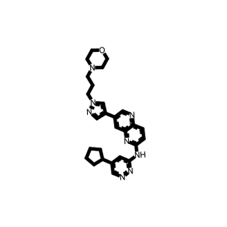 c1nc2ccc(Nc3cc(C4CCCC4)cnn3)nc2cc1-c1cnn(CCCN2CCOCC2)c1